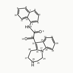 O=C(Nc1cccc2ccccc12)C(=O)c1c2n(c3ccccc13)CCNCC2